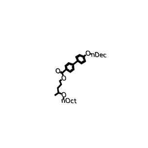 CCCCCCCCCCOc1ccc(-c2ccc(C(=O)OCCCC(C)OCCCCCCCC)cc2)cc1